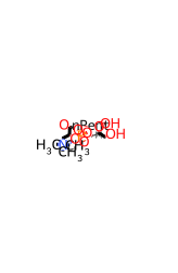 CCCCCC(=O)C(C[N+](C)(C)C)OP(=O)([O-])OC[C@@H](CO)OO